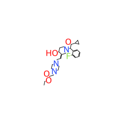 CCOC(=O)CN1CCN(CC=C2CN(C(C(=O)C3CC3)c3ccccc3F)CCC2O)CC1